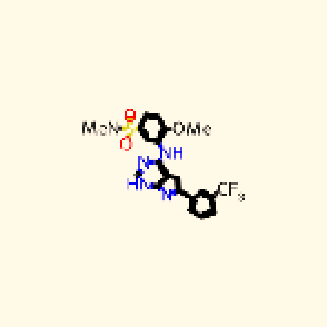 CNS(=O)(=O)c1ccc(OC)c(Nc2nc[nH]c3nc(-c4cccc(C(F)(F)F)c4)cc2-3)c1